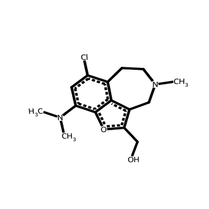 CN1CCc2c(Cl)cc(N(C)C)c3oc(CO)c(c23)C1